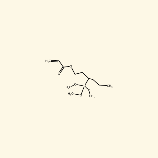 C=CC(=O)OCCC(CCC)[Si](OC)(OC)OC